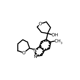 Cc1cc2cnn(C3CCCCO3)c2cc1C1(O)CCOCC1